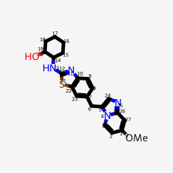 COc1ccn2c(Cc3ccc4nc(NC5CCCCC5O)sc4c3)cnc2c1